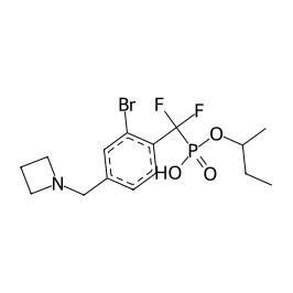 CCC(C)OP(=O)(O)C(F)(F)c1ccc(CN2CCC2)cc1Br